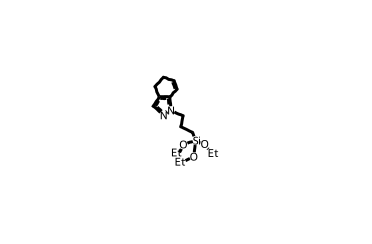 CCO[Si](CCCn1ncc2c1C=CCC2)(OCC)OCC